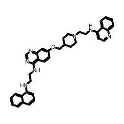 c1ccc2c(NCCNc3ncnc4cc(OCC5CCN(CCNc6ccnc7ccccc67)CC5)ccc34)cccc2c1